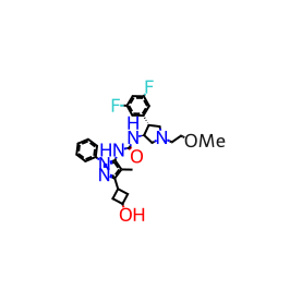 COCCN1C[C@@H](NC(=O)Nc2c(C)c(C3CC(O)C3)nn2-c2ccccc2)[C@H](c2cc(F)cc(F)c2)C1